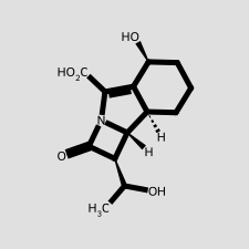 CC(O)[C@H]1C(=O)N2C(C(=O)O)=C3[C@@H](CCC[C@@H]3O)[C@H]12